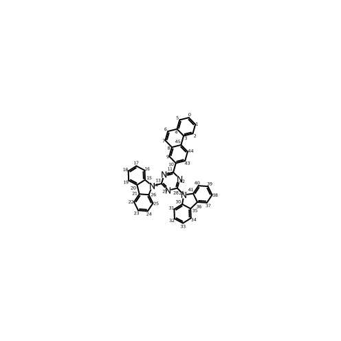 c1ccc2c(c1)ccc1cc(-c3nc(-n4c5ccccc5c5ccccc54)nc(-n4c5ccccc5c5ccccc54)n3)ccc12